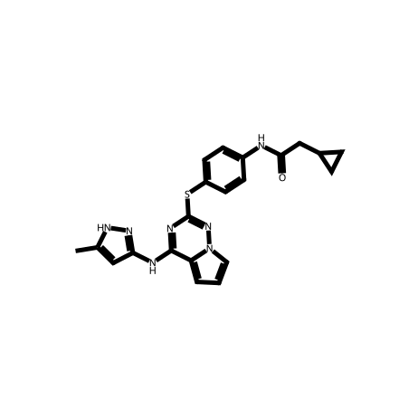 Cc1cc(Nc2nc(Sc3ccc(NC(=O)CC4CC4)cc3)nn3cccc23)n[nH]1